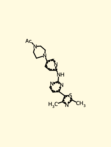 CC(=O)N1CCN(c2ccc(Nc3nccc(-c4sc(C)nc4C)n3)nc2)CC1